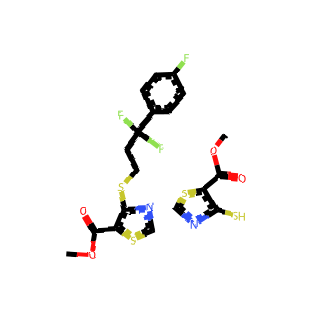 COC(=O)c1scnc1S.COC(=O)c1scnc1SCCC(F)(F)c1ccc(F)cc1